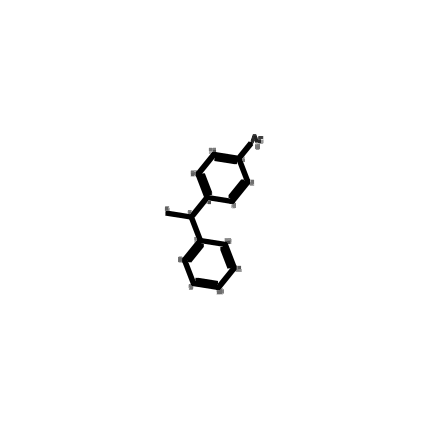 CC(=O)c1ccc(C(C)c2ccccc2)cc1